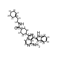 Nc1nccn2c(C3CCC(C(=O)NCCC4=CCCCC4)CC3)nc(-c3cc4ccccc4[nH]3)c12